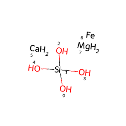 O[Si](O)(O)O.[CaH2].[Fe].[MgH2]